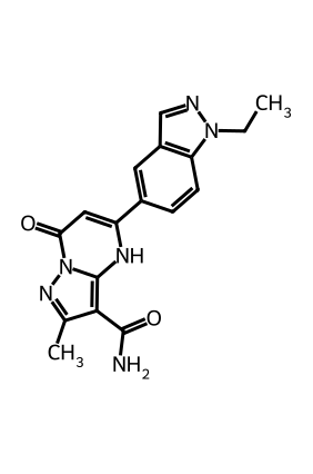 CCn1ncc2cc(-c3cc(=O)n4nc(C)c(C(N)=O)c4[nH]3)ccc21